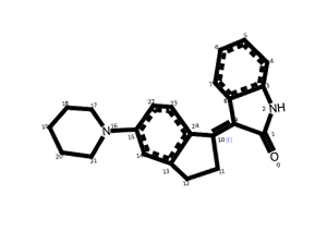 O=C1Nc2ccccc2/C1=C1/CCc2cc(N3CCCCC3)ccc21